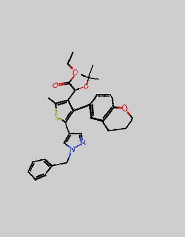 CCOC(=O)C(OC(C)(C)C)c1c(C)sc(-c2cnn(Cc3ccccc3)c2)c1-c1ccc2c(c1)CCCO2